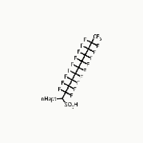 CCCCCCCC(C(F)(F)C(F)(F)C(F)(F)C(F)(F)C(F)(F)C(F)(F)C(F)(F)C(F)(F)C(F)(F)C(F)(F)F)S(=O)(=O)O